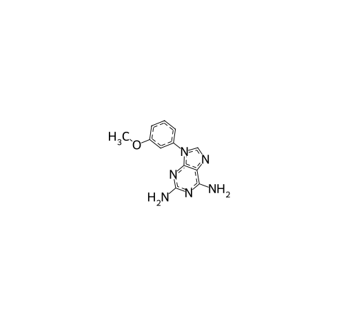 COc1cccc(-n2cnc3c(N)nc(N)nc32)c1